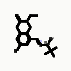 CCN1Cc2c(/C=N/[S@@+]([O-])C(C)(C)C)cc(Br)cc2CC1=O